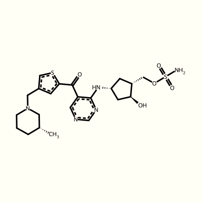 C[C@@H]1CCCN(Cc2csc(C(=O)c3cncnc3N[C@@H]3C[C@H](COS(N)(=O)=O)[C@@H](O)C3)c2)C1